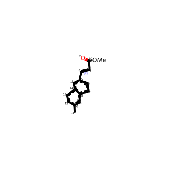 COC(=O)/C=C/c1ccc2cc(C)ccc2c1